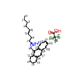 CCCCCCCCNCc1c2ccccc2cc2ccccc12.O=C(O)C(F)(F)F